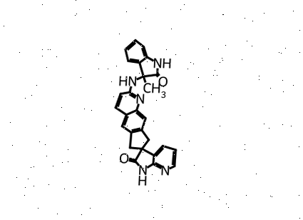 CC1(Nc2ccc3cc4c(cc3n2)CC2(C4)C(=O)Nc3ncccc32)C(=O)Nc2ccccc21